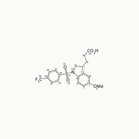 COc1ccc2c(c1)C(CCC(=O)O)CN2S(=O)(=O)c1ccc(C(F)(F)F)cc1